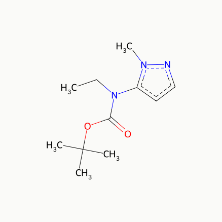 CCN(C(=O)OC(C)(C)C)c1ccnn1C